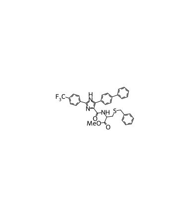 COC(=O)C(CSCc1ccccc1)NC(=O)c1nc(-c2ccc(C(F)(F)F)cc2)[nH]c1-c1ccc(-c2ccccc2)cc1